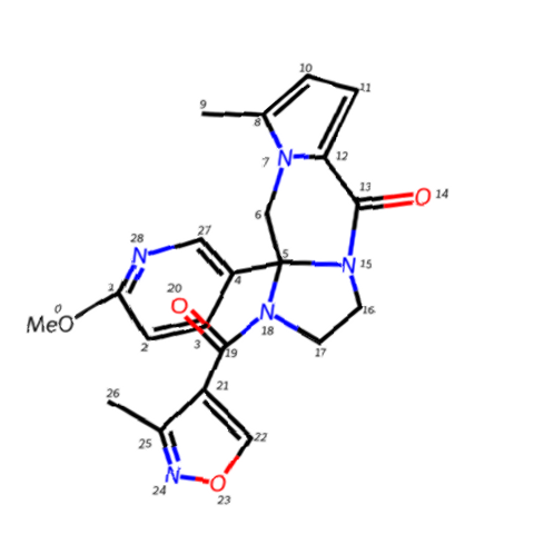 COc1ccc(C23Cn4c(C)ccc4C(=O)N2CCN3C(=O)c2conc2C)cn1